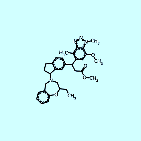 CCC1CN(C2CCc3ccc(C(CC(=O)OC)c4cc(OC)c5c(nnn5C)c4C)cc32)Cc2ccccc2O1